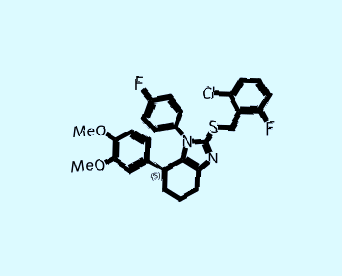 COc1ccc([C@@H]2CCCc3nc(SCc4c(F)cccc4Cl)n(-c4ccc(F)cc4)c32)cc1OC